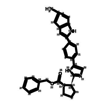 Nc1ccc2[nH]c(-c3ccc(-c4cnc([C@@H]5CCCN5C(=O)OCc5ccccc5)[nH]4)cc3)cc2c1